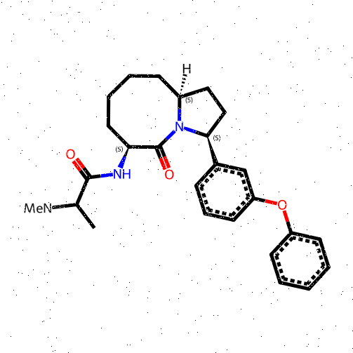 CNC(C)C(=O)N[C@H]1CCCC[C@H]2CC[C@@H](c3cccc(Oc4ccccc4)c3)N2C1=O